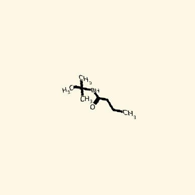 CCCC(=O)BC(C)(C)C